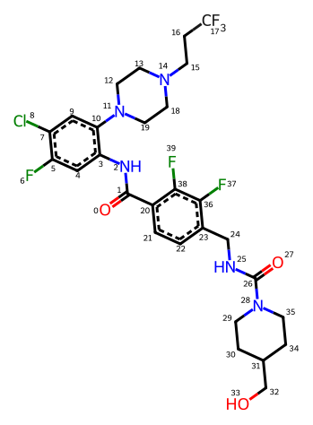 O=C(Nc1cc(F)c(Cl)cc1N1CCN(CCC(F)(F)F)CC1)c1ccc(CNC(=O)N2CCC(CO)CC2)c(F)c1F